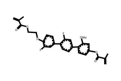 C=C(C)C(=O)OCCOc1ccc(-c2ccc(-c3ccc(OC(=O)C(=C)C)cc3OC)cc2F)cc1F